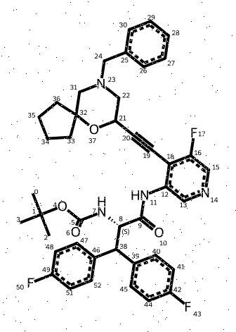 CC(C)(C)OC(=O)N[C@H](C(=O)Nc1cncc(F)c1C#CC1CN(Cc2ccccc2)CC2(CCCC2)O1)C(c1ccc(F)cc1)c1ccc(F)cc1